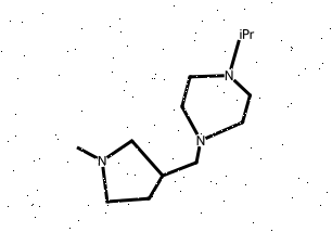 CC(C)N1CCN(CC2CCN(C)C2)CC1